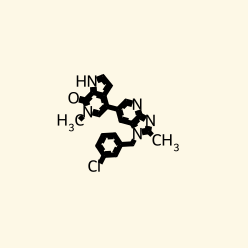 Cc1nc2ncc(-c3cn(C)c(=O)c4[nH]ccc34)cc2n1Cc1cccc(Cl)c1